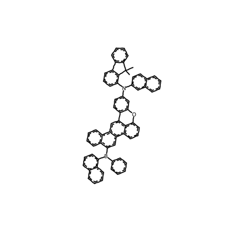 CC1(C)c2ccccc2-c2cccc(N(c3ccc4c(c3)Oc3cccc5c3c-4cc3c4ccccc4c(B(c4ccccc4)c4cccc6ccccc46)cc53)c3ccc4ccccc4c3)c21